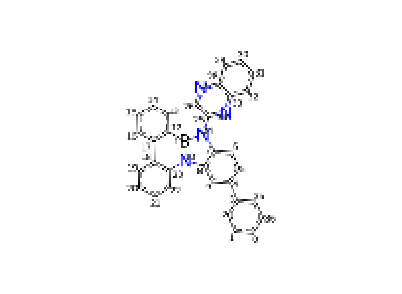 c1ccc(-c2ccc3c(c2)N2B(c4ccccc4-c4ccccc42)N3c2cnc3ccccc3n2)cc1